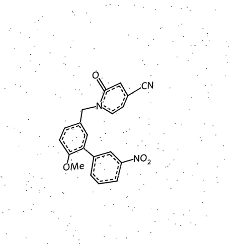 COc1ccc(Cn2ccc(C#N)cc2=O)cc1-c1cccc([N+](=O)[O-])c1